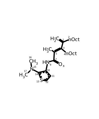 C=C(CCCCCCCC)/C(CCCCCCCC)=C(\C)C(=O)Nc1ccsc1N(C)C